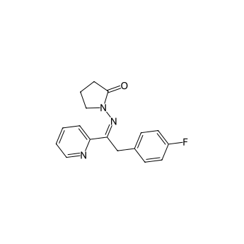 O=C1CCCN1N=C(Cc1ccc(F)cc1)c1ccccn1